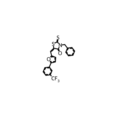 O=C1/C(=C\c2ccc(-c3cccc(C(F)(F)F)c3)o2)SC(=S)N1Cc1ccccc1